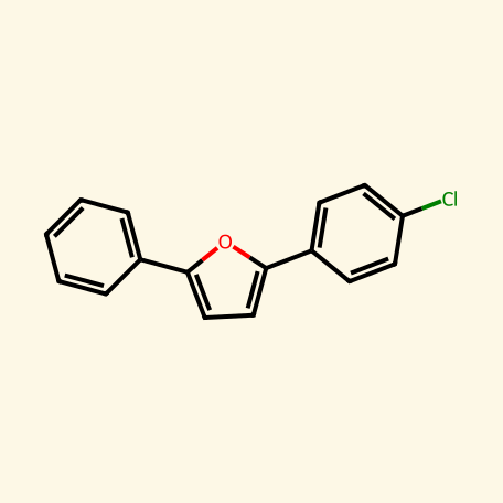 Clc1ccc(-c2ccc(-c3ccccc3)o2)cc1